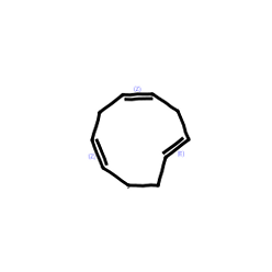 [CH]1/C=C\C/C=C\C/C=C/C1